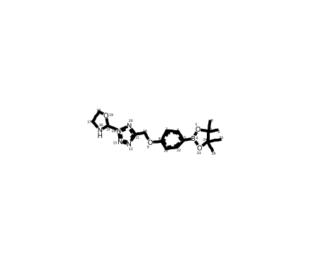 CC1(C)OB(c2ccc(OCc3nnn(C4NCCO4)n3)cc2)OC1(C)C